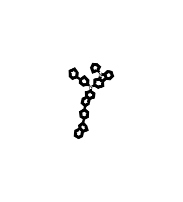 c1ccc(-c2ccc(N(c3ccc4cc(-c5ccc(-c6ccc7ccccc7c6)cc5)ccc4c3)c3ccc4c5ccccc5n(-c5ccccc5)c4c3)cc2)cc1